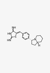 N=C1NC(=N)/C(=C/c2ccc([C@H]3CC[C@H]4CCCCN43)cc2)S1